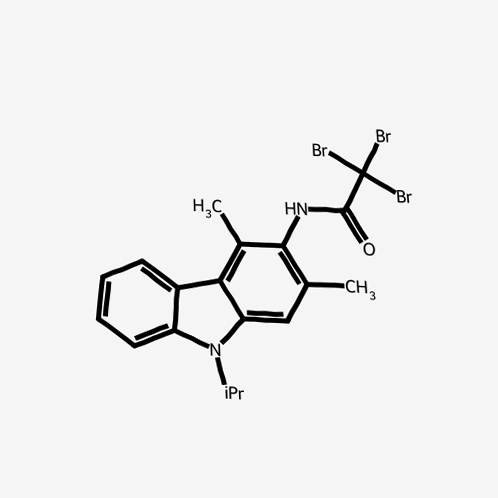 Cc1cc2c(c(C)c1NC(=O)C(Br)(Br)Br)c1ccccc1n2C(C)C